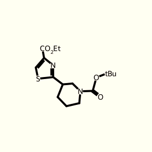 CCOC(=O)c1csc(C2CCCN(C(=O)OC(C)(C)C)C2)n1